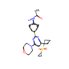 CNC(=O)Nc1ccc(-c2nc(N3CCOCC3)cc(C3(S(=O)(=O)C4CC4)CCC3)n2)cc1